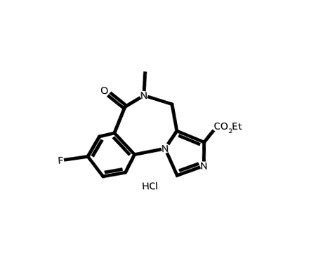 CCOC(=O)c1ncn2c1CN(C)C(=O)c1cc(F)ccc1-2.Cl